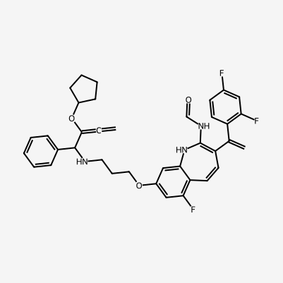 C=C=C(OC1CCCC1)C(NCCCOc1cc(F)c2c(c1)NC(NC=O)=C(C(=C)c1ccc(F)cc1F)C=C2)c1ccccc1